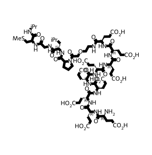 CSCC(NC(=O)CNC(=O)[C@H](CC(C)C)NC(=O)C1CCCN1C(=O)COCCNC(=O)[C@@H](CCC(=O)O)NC(=O)[C@@H](CCC(=O)O)NC(=O)[C@@H](CCC(=O)O)NC(=O)[C@@H](CCC(=O)O)NC(=O)[C@@H](CCC(=O)O)NC(=O)[C@@H](CCC(=O)O)NC(=O)[C@@H](CCC(=O)O)NC(=O)[C@@H](CCC(=O)O)NC(=O)[C@H](N)CCC(=O)O)C(=O)NC(C)C